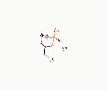 CCN(CC)OP(=O)(O)O.[NaH]